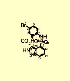 O=C(O)c1cc(Br)ccc1NS(=O)(=O)C1=CC=CN2SNC=C12